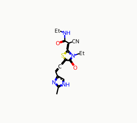 CCNC(=O)/C(C#N)=c1\sc(=C=Cc2c[nH]c(C)n2)c(=O)n1CC